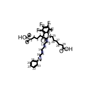 CC1(CCCCS(=O)(=O)O)\C(=C/C=C/C=C/C=N/c2ccccc2)N(CCCCCC(=O)O)c2c(F)c(F)c(F)c(F)c21